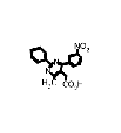 Cc1nc(-c2ccccc2)nc(-c2cccc([N+](=O)[O-])c2)c1CC(=O)O